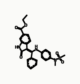 CCOC(=O)c1ccc2c(c1)NC(=O)C2=C(Nc1ccc(N(C)S(C)(=O)=O)cc1)c1ccccc1